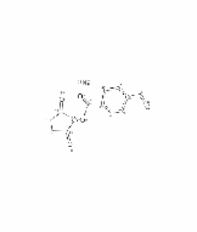 O=Cc1ccc(C(=O)ON2C(=O)CCC2=O)cc1.[Na]